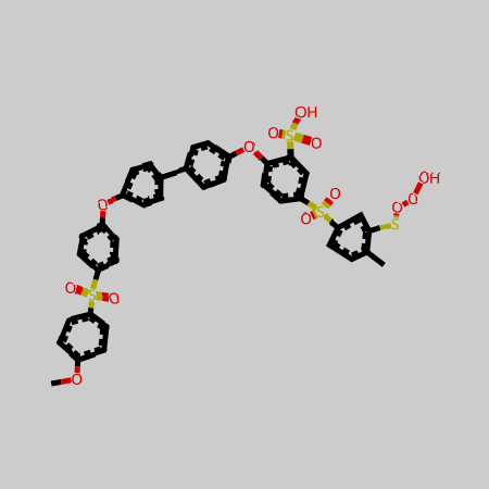 COc1ccc(S(=O)(=O)c2ccc(Oc3ccc(-c4ccc(Oc5ccc(S(=O)(=O)c6ccc(C)c(SOOO)c6)cc5S(=O)(=O)O)cc4)cc3)cc2)cc1